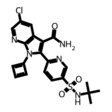 CC(C)(C)NS(=O)(=O)c1ccc(-c2c(C(N)=O)c3cc(Cl)cnc3n2C2=CC=C2)nc1